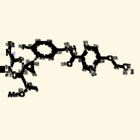 CC/N=C(/N)S[C@@]1(C(=O)N(C)OC)C[C@H]1c1cc(NC(=O)c2cnc(OCC(F)(F)F)cn2)ccc1F